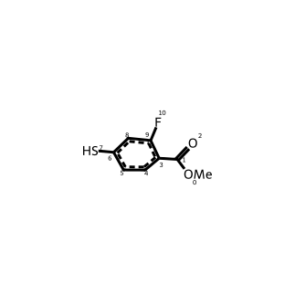 COC(=O)c1ccc(S)cc1F